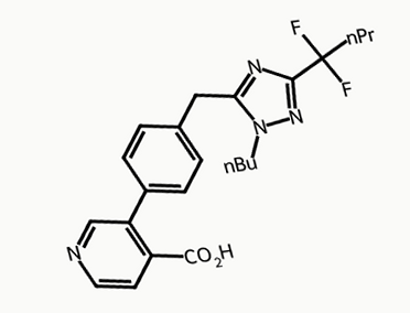 CCCCn1nc(C(F)(F)CCC)nc1Cc1ccc(-c2cnccc2C(=O)O)cc1